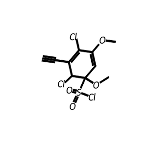 C#CC1=C(Cl)C(OC)=CC(OC)(S(=O)(=O)Cl)C1Cl